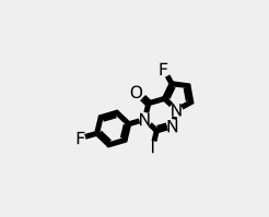 O=c1c2c(F)ccn2nc(I)n1-c1ccc(F)cc1